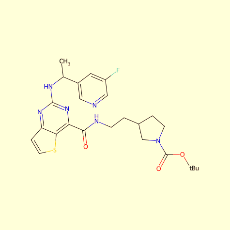 CC(Nc1nc(C(=O)NCCC2CCN(C(=O)OC(C)(C)C)C2)c2sccc2n1)c1cncc(F)c1